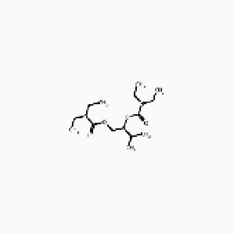 CCN(CC)C(=O)OCC(OC(=O)N(CC)CC)C(C)C